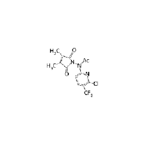 CC(=O)N(c1ccc(C(F)(F)F)c(Cl)n1)N1C(=O)C(C)=C(C)C1=O